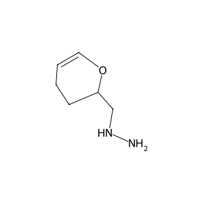 NNCC1CCC=CO1